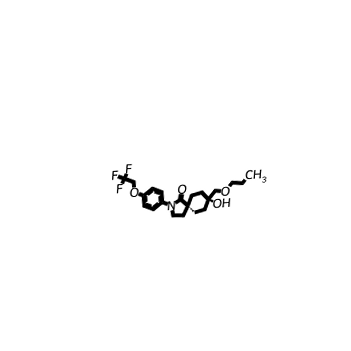 CCCOC[C@]1(O)CC[C@@]2(CCN(c3ccc(OCC(F)(F)F)cc3)C2=O)CC1